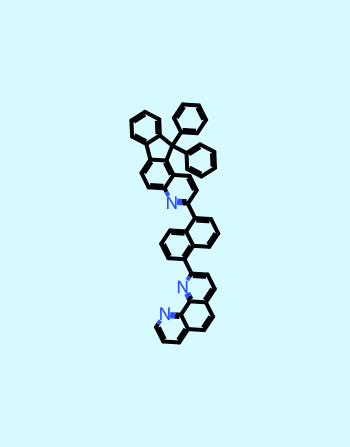 c1ccc(C2(c3ccccc3)c3ccccc3-c3ccc4nc(-c5cccc6c(-c7ccc8ccc9cccnc9c8n7)cccc56)ccc4c32)cc1